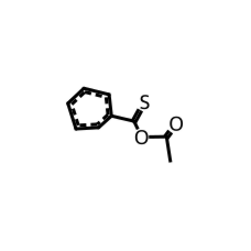 CC(=O)OC(=S)c1ccccc1